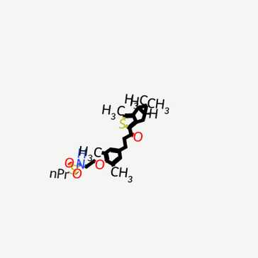 CCCS(=O)(=O)NCCOc1c(C)cc(CCC(=O)c2sc(C)c3c2C[C@@H]2[C@H]3C2(C)C)cc1C